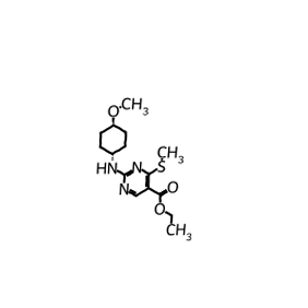 CCOC(=O)c1cnc(N[C@H]2CC[C@H](OC)CC2)nc1SC